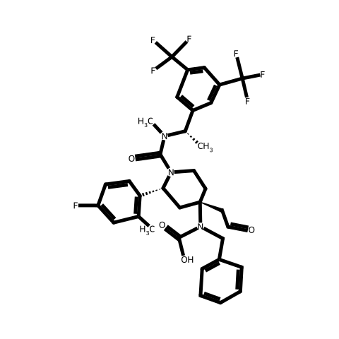 Cc1cc(F)ccc1[C@H]1C[C@@](CC=O)(N(Cc2ccccc2)C(=O)O)CCN1C(=O)N(C)[C@@H](C)c1cc(C(F)(F)F)cc(C(F)(F)F)c1